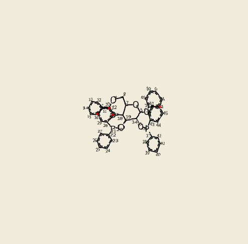 c1ccc(OC2OC3COC(c4ccccc4)OC3C(OP(c3ccccc3)c3ccccc3)C2OP(c2ccccc2)c2ccccc2)cc1